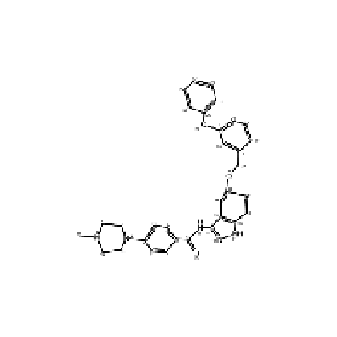 CN1CCN(c2ccc(C(=O)Nc3n[nH]c4ccc(OCc5cccc(Oc6ccccc6)c5)cc34)cc2)CC1